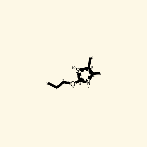 CCCOc1nc(C)c(C)s1